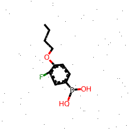 CCCCOc1ccc(B(O)O)cc1F